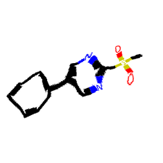 CS(=O)(=O)c1ncc(-c2ccccc2)cn1